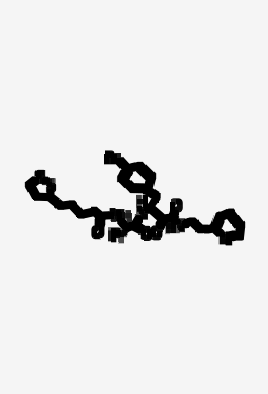 CC(C)[C@H](NC(=O)CCCCC1CCSS1)C(=O)N[C@@H](Cc1ccc(Br)cc1)C(=O)C(=O)NCCc1ccccn1